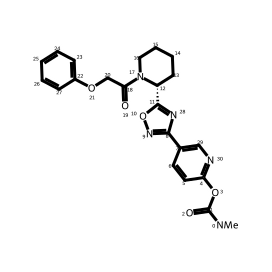 CNC(=O)Oc1ccc(-c2noc([C@H]3CCCCN3C(=O)COc3ccccc3)n2)cn1